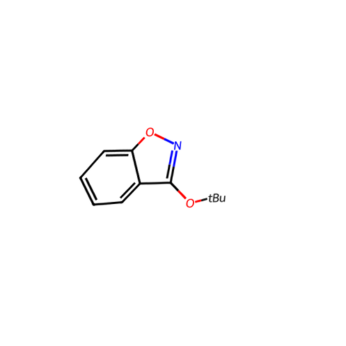 CC(C)(C)Oc1noc2ccccc12